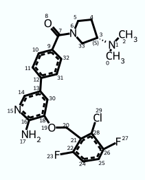 CN(C)[C@H]1CCN(C(=O)c2ccc(-c3cnc(N)c(OCc4c(F)ccc(F)c4Cl)c3)cc2)C1